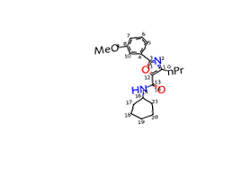 CCCc1nc(-c2cccc(OC)c2)oc1C(=O)NC1CCCCC1